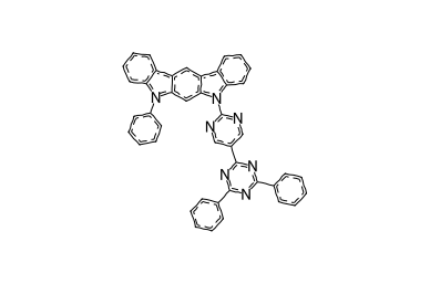 c1ccc(-c2nc(-c3ccccc3)nc(-c3cnc(-n4c5ccccc5c5cc6c7ccccc7n(-c7ccccc7)c6cc54)nc3)n2)cc1